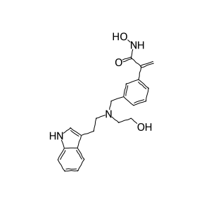 C=C(C(=O)NO)c1cccc(CN(CCO)CCc2c[nH]c3ccccc23)c1